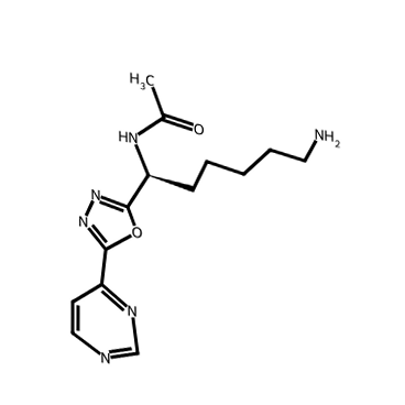 CC(=O)N[C@@H](CCCCCN)c1nnc(-c2ccncn2)o1